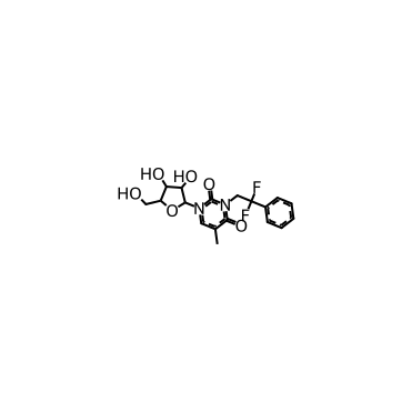 Cc1cn(C2OC(CO)C(O)C2O)c(=O)n(CC(F)(F)c2ccccc2)c1=O